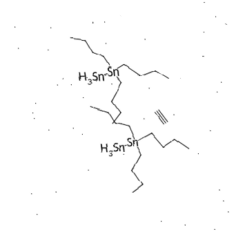 C#C.CCC[CH2][Sn]([SnH3])([CH2]CCC)[CH2]CCC.CCC[CH2][Sn]([SnH3])([CH2]CCC)[CH2]CCC